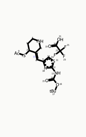 CC(=O)SC1CCNC/C1=C\c1csc(NC(=O)OC(C)(C)C)n1.O=C(O)C(F)(F)F